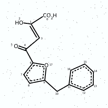 O=C(O)C(O)=CC(=O)c1ccc(Cc2ccccc2)o1